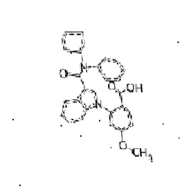 COc1ccc(C(=O)O)c(-n2cc(C(=O)N(c3ccccc3)c3ccccc3)c3ccccc32)c1